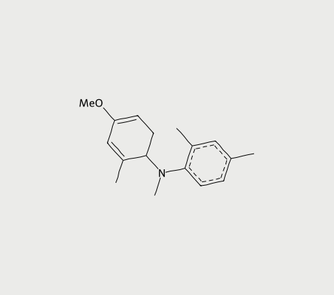 COC1=CCC(N(C)c2ccc(C)cc2C)C(C)=C1